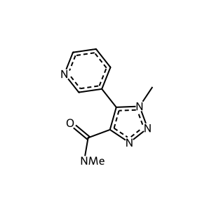 CNC(=O)c1nnn(C)c1-c1cccnc1